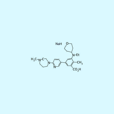 CCN(c1cc(-c2ccc(N3CCCN(C)CC3)nc2)cc(C(=O)O)c1C)C1CCOCC1.[NaH]